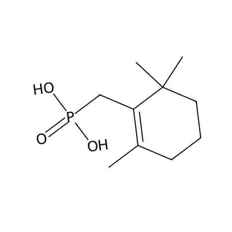 CC1=C(CP(=O)(O)O)C(C)(C)CCC1